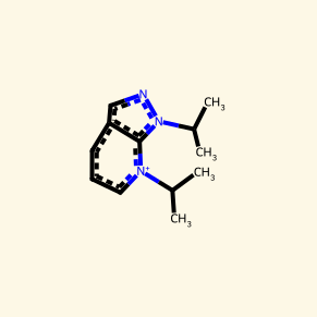 CC(C)n1ncc2ccc[n+](C(C)C)c21